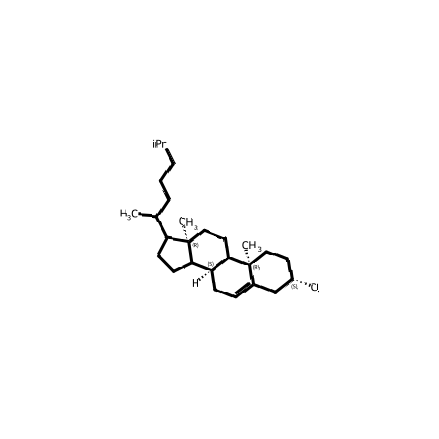 CC(C)CCCC(C)C1CCC2[C@@H]3CC=C4C[C@@H](Cl)CC[C@]4(C)C3CC[C@]12C